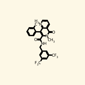 Cc1ccccc1-c1c(C(=O)NCc2cc(C(F)(F)F)cc(C(F)(F)F)c2)n(C)c(=O)c2cccnc12